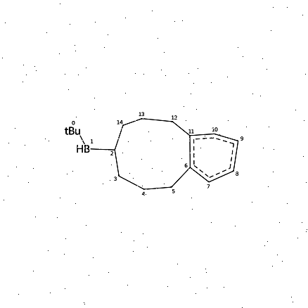 CC(C)(C)BC1CCCc2ccccc2CCC1